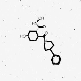 O=C(NO)[C@H]1C[C@@H](O)CC[C@@H]1C(=O)N1CCC(c2ccccc2)CC1